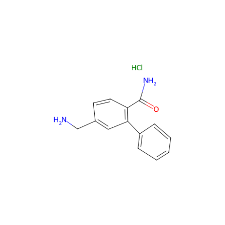 Cl.NCc1ccc(C(N)=O)c(-c2ccccc2)c1